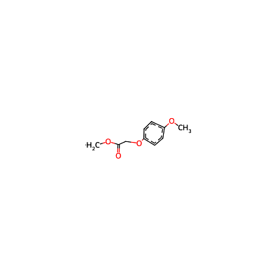 [CH2]OC(=O)COc1ccc(OC)cc1